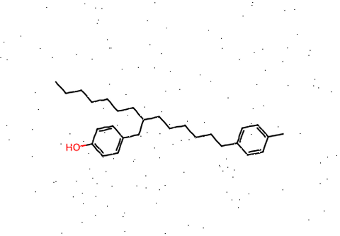 CCCCCCCC(CCCCCCc1ccc(C)cc1)Cc1ccc(O)cc1